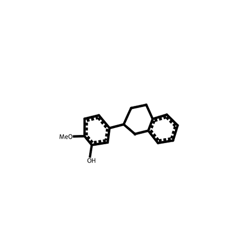 COc1ccc(C2[C]c3ccccc3CC2)cc1O